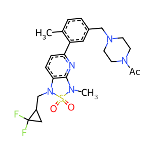 CC(=O)N1CCN(Cc2ccc(C)c(-c3ccc4c(n3)N(C)S(=O)(=O)N4CC3CC3(F)F)c2)CC1